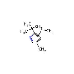 CCc1cc(C)cnc1C(C)(C)C